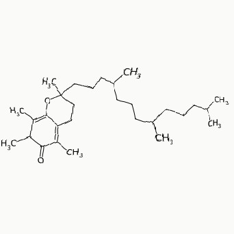 CC1=C2CCC(C)(CCCC(C)CCCC(C)CCCC(C)C)OC2=C(C)C(C)C1=O